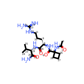 CC(=O)NC1(C(=O)N[C@@H](CCCNC(=N)N)C(=O)N[C@H](C(N)=O)C(C)C)CCC1